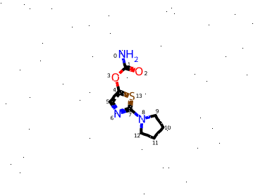 NC(=O)Oc1cnc(N2CCCC2)s1